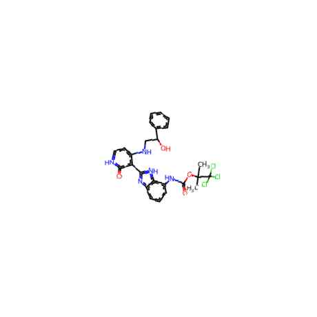 CC(C)(OC(=O)Nc1cccc2nc(-c3c(NCC(O)c4ccccc4)cc[nH]c3=O)[nH]c12)C(Cl)(Cl)Cl